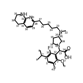 COc1c(F)cc(C(C)C)c(F)c1C(C(=O)O)N1CC[C@@H](N(C)CCCCCc2ccc3c(n2)NCCC3)C1